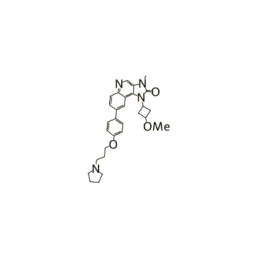 COC1CC(n2c(=O)n(C)c3cnc4ccc(-c5ccc(OCCCN6CCCC6)cc5)cc4c32)C1